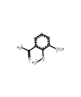 BC(=O)c1cccc(C(=O)O)c1OP